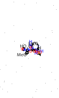 CC[C@@H]1C[C@H](C)CC/C=C\[C@@H]2C[C@@]2(C(=O)NS(=O)(=O)C2(C)CC2)NC(=O)[C@@H]2C[C@@H](Oc3ncc(N4CCOCC4)c4cc(OC)ccc34)CN2C(=O)[C@H]1NC(=O)O